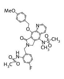 COc1ccc(COc2c3c(c(N(C)S(C)(=O)=O)c4cccnc24)CN(Cc2ccc(F)cc2NS(C)(=O)=O)C3=O)cc1